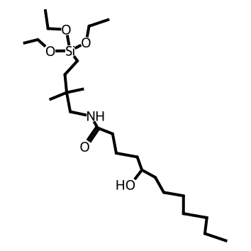 CCCCCCCC(O)CCCC(=O)NCC(C)(C)CC[Si](OCC)(OCC)OCC